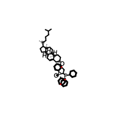 CC(C)CCC[C@@H](C)C1CC[C@H]2[C@@H]3CC=C4C[C@@H](OCCC(P(c5ccccc5)c5ccccc5)P(=O)(c5ccccc5)c5ccccc5)CC[C@]4(C)[C@H]3CC[C@]12C